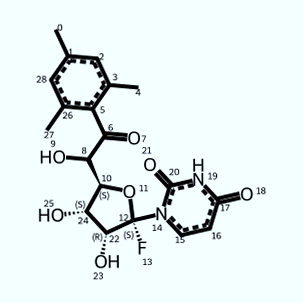 Cc1cc(C)c(C(=O)C(O)[C@H]2O[C@@](F)(n3ccc(=O)[nH]c3=O)[C@H](O)[C@@H]2O)c(C)c1